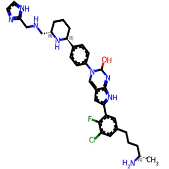 C[C@H](N)CCCc1cc(Cl)c(F)c(-c2cc3c([nH]2)=NC(O)N(c2ccc([C@@H]4CCC[C@@H](CNCc5ncc[nH]5)N4)cc2)C=3)c1